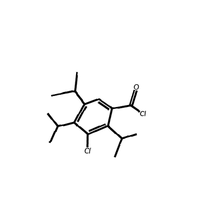 CC(C)c1cc(C(=O)Cl)c(C(C)C)c(Cl)c1C(C)C